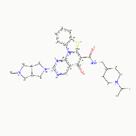 CC(C)N1CCC(CNC(=O)c2c(=O)c3cnc(N4CC5CN(C)CC5C4)nc3n3c2sc2ccccc23)CC1